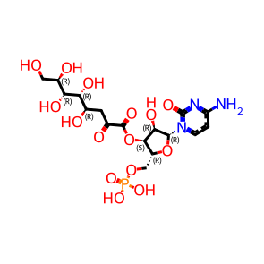 Nc1ccn([C@@H]2O[C@H](COP(=O)(O)O)[C@@H](OC(=O)C(=O)C[C@@H](O)[C@@H](O)[C@H](O)[C@H](O)CO)[C@H]2O)c(=O)n1